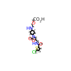 O=C(O)COCCNc1ccc(N2CC(CNC(=O)c3ccc(Cl)s3)OC2=O)cc1